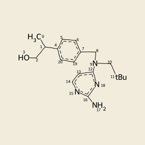 CC(CO)c1ccc(CN(CC(C)(C)C)c2ccnc(N)n2)cc1